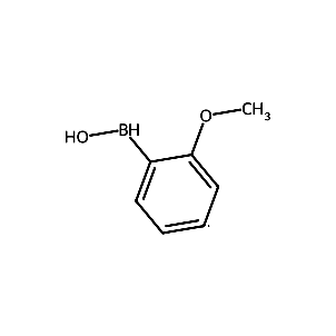 COc1c[c]ccc1BO